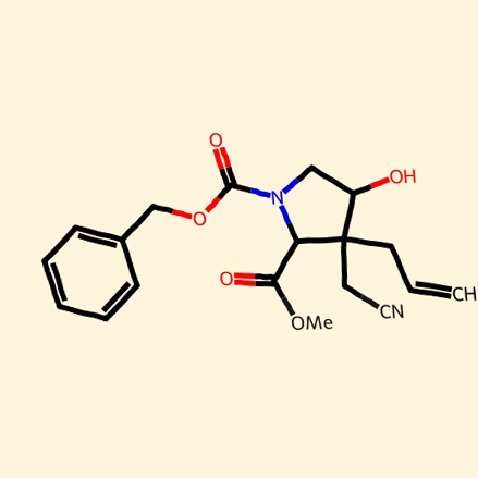 C=CCC1(CC#N)C(O)CN(C(=O)OCc2ccccc2)C1C(=O)OC